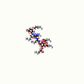 C=CCOc1cc([C@@H](CCC)NC(=O)[C@]2(N)CSC(/C(C)=N/O[C@H]3O[C@H](COC(C)=O)[C@@H](OC(C)=O)[C@H](OC(C)=O)[C@H]3O)=N2)oc(=O)c1